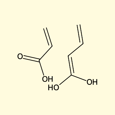 C=CC(=O)O.C=CC=C(O)O